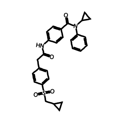 O=C(Cc1ccc(S(=O)(=O)CC2CC2)cc1)Nc1ccc(C(=O)N(c2ccccc2)C2CC2)cc1